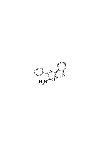 NC(=O)N(Sc1ncnc2ccccc12)c1ccccc1